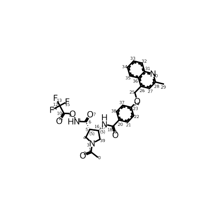 CC(=O)N1C[C@H](C(=O)NOC(=O)C(F)(F)F)[C@H](NC(=O)c2ccc(OCc3cc(C)nc4ccccc34)cc2)C1